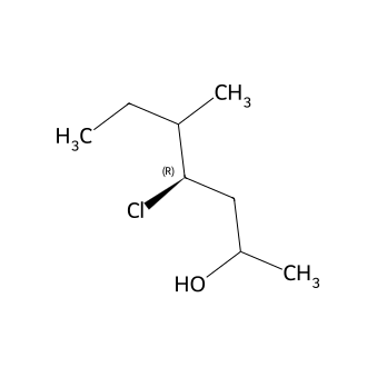 CCC(C)[C@H](Cl)CC(C)O